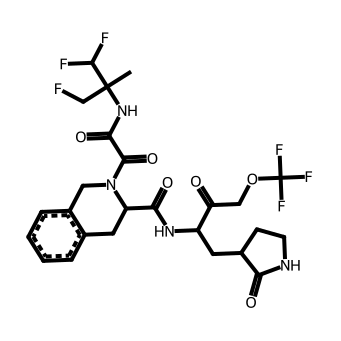 CC(CF)(NC(=O)C(=O)N1Cc2ccccc2CC1C(=O)NC(CC1CCNC1=O)C(=O)COC(F)(F)F)C(F)F